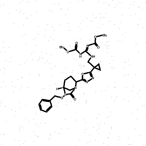 CC(C)(C)OC(=O)/N=C(\NCC1(c2nnc(C3CC[C@@H]4CN3C(=O)N4OCc3ccccc3)o2)CC1)NC(=O)OC(C)(C)C